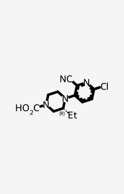 CC[C@@H]1CN(C(=O)O)CCN1c1ccc(Cl)nc1C#N